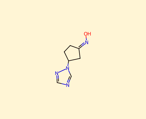 O/N=C1\CCC(n2cncn2)C1